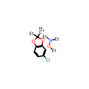 CCC1(C)Oc2ccc(Cl)cc2O1.CCON(CC)CC